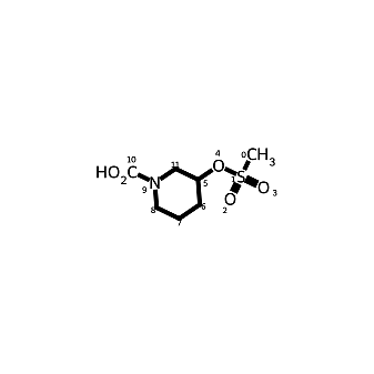 CS(=O)(=O)OC1CCCN(C(=O)O)C1